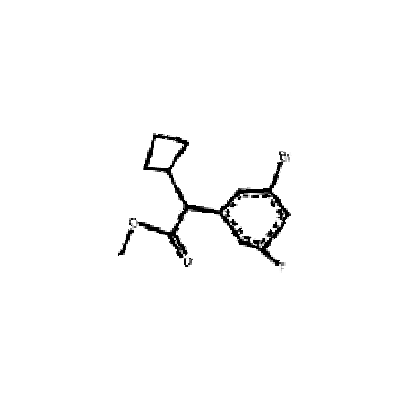 COC(=O)C(c1cc(F)cc(Br)c1)C1CCC1